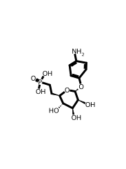 Nc1ccc(O[C@H]2O[C@H](CCP(=O)(O)O)[C@@H](O)[C@H](O)[C@@H]2O)cc1